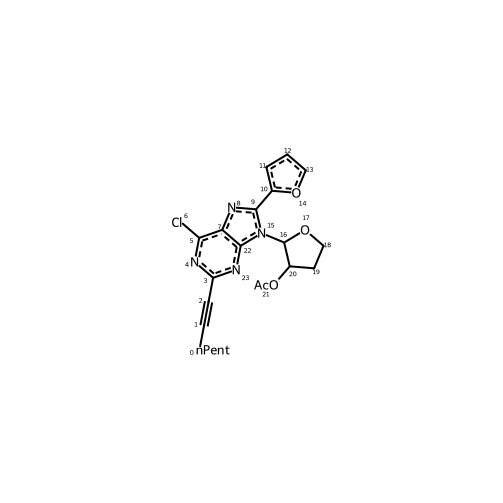 CCCCCC#Cc1nc(Cl)c2nc(-c3ccco3)n(C3OCCC3OC(C)=O)c2n1